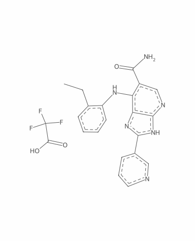 CCc1ccccc1Nc1c(C(N)=O)cnc2[nH]c(-c3cccnc3)nc12.O=C(O)C(F)(F)F